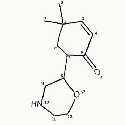 CC1(C)C=CC(=O)C(C2CNCCO2)C1